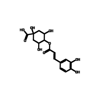 O=C(/C=C/c1ccc(O)c(O)c1)OC1C(O)CC(O)(C(=O)O)CC1O